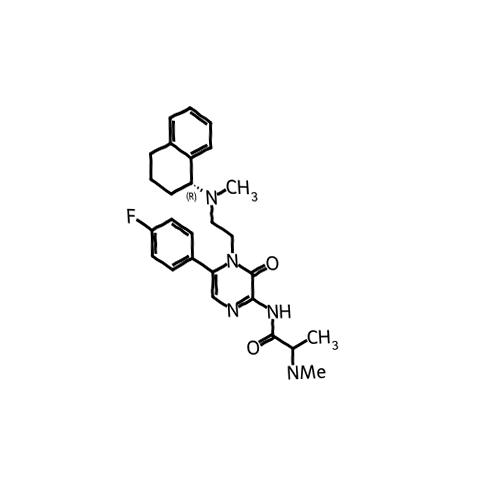 CNC(C)C(=O)Nc1ncc(-c2ccc(F)cc2)n(CCN(C)[C@@H]2CCCc3ccccc32)c1=O